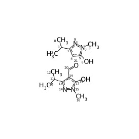 CC(C)c1cc(O)n(C)n1.CC(C)c1nn(C)c(O)c1C=O